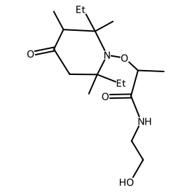 CCC1(C)CC(=O)C(C)C(C)(CC)N1OC(C)C(=O)NCCO